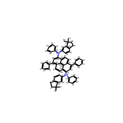 CC1(C)CCc2ccc(N(c3ccccc3)c3cc(-c4ccccc4)c4ccc5c(N(c6ccccc6)c6ccc7c(c6)C(C)(C)CC7)cc(-c6ccccc6)c6ccc3c4c65)cc21